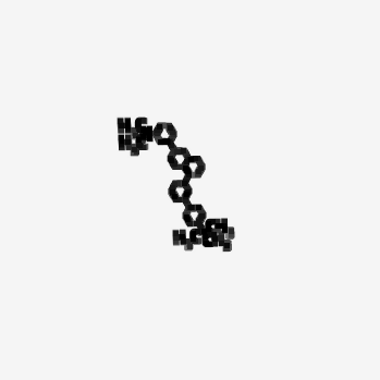 CN(C)c1cccc(-c2ccc3c(-c4cccc(-c5ccc(C(C)(C)C)cc5)c4)cccc3c2)c1